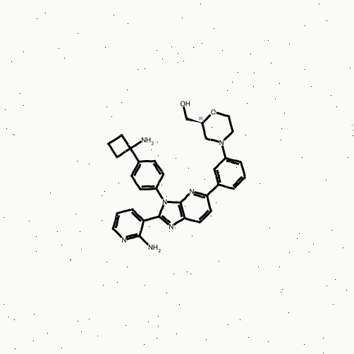 Nc1ncccc1-c1nc2ccc(-c3cccc(N4CCO[C@H](CO)C4)c3)nc2n1-c1ccc(C2(N)CCC2)cc1